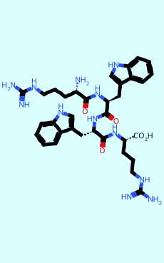 N=C(N)NCCC[C@H](NC(=O)[C@H](Cc1c[nH]c2ccccc12)NC(=O)[C@H](Cc1c[nH]c2ccccc12)NC(=O)[C@@H](N)CCCNC(=N)N)C(=O)O